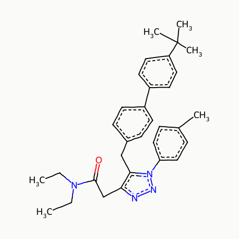 CCN(CC)C(=O)Cc1nnn(-c2ccc(C)cc2)c1Cc1ccc(-c2ccc(C(C)(C)C)cc2)cc1